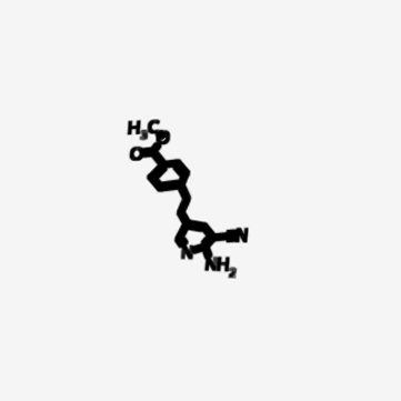 COC(=O)c1ccc(CCc2cnc(N)c(C#N)c2)cc1